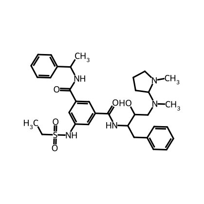 CCS(=O)(=O)Nc1cc(C(=O)NC(C)c2ccccc2)cc(C(=O)NC(Cc2ccccc2)C(O)CN(C)C2CCCN2C)c1